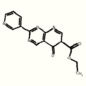 CCOC(=O)C1C=Nc2nc(-c3cccnc3)ncc2C1=O